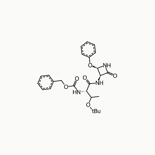 CC(OC(C)(C)C)[C@H](NC(=O)OCc1ccccc1)C(=O)N[C@@H]1C(=O)N[C@@H]1Oc1ccccc1